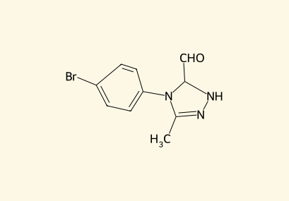 CC1=NNC(C=O)N1c1ccc(Br)cc1